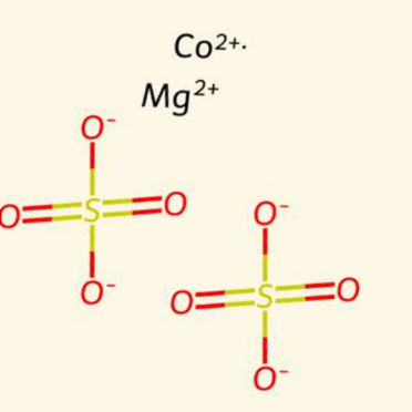 O=S(=O)([O-])[O-].O=S(=O)([O-])[O-].[Co+2].[Mg+2]